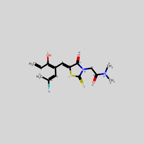 C=C/C(O)=C(/C=C1\SC(=S)N(CC(=O)N(C)C)C1=O)\C=C(/C)F